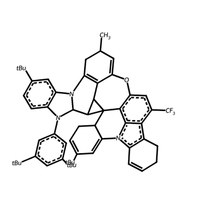 CC1C=C2Oc3cc(C(F)(F)F)c4c5c(n6c4c3C3(C4CC=C(C(C)(C)C)C=C46)C4C2=C(C1)N1c2cc(C(C)(C)C)ccc2N(c2cc(C(C)(C)C)cc(C(C)(C)C)c2)C1C43)C=CCC5